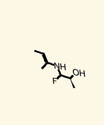 C/C=C(\C)NC(F)[C@H](C)O